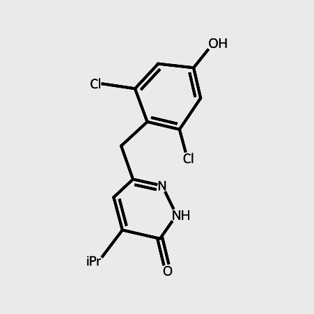 CC(C)c1cc(Cc2c(Cl)cc(O)cc2Cl)n[nH]c1=O